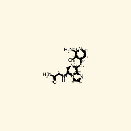 NC(=O)CNc1cnc(Sc2ccnc(N)c2Cl)c2nccn12